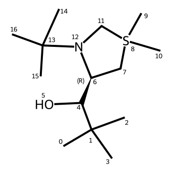 CC(C)(C)C(O)[C@@H]1CS(C)(C)CN1C(C)(C)C